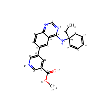 CC[C@]1(Nc2ncnc3ccc(-c4cncc(C(=O)OC)c4)cc23)C=CC=CC1